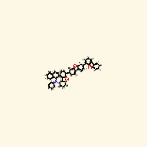 c1ccc(N(c2cccc3ccccc23)c2cccc3oc4c(-c5ccc6c(c5)oc5cc(-c7cccc8c7oc7ccccc78)ccc56)cccc4c23)cc1